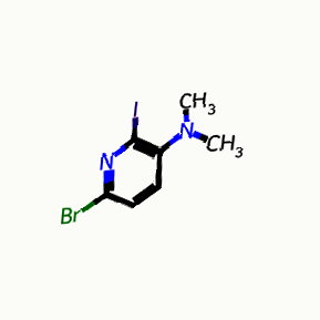 CN(C)c1ccc(Br)nc1I